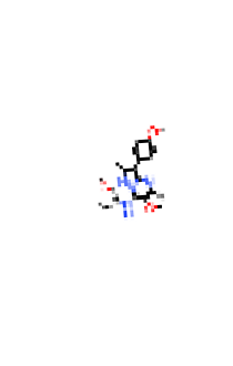 CC[C@H](COC)Nc1c2c(nc3c(-c4ccc(OC)cc4C)c(C)nn13)CCO2